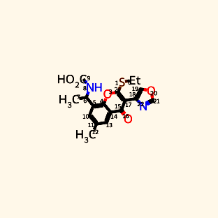 CCSc1oc2c(C(C)NC(=O)O)cc(C)cc2c(=O)c1-c1cocn1